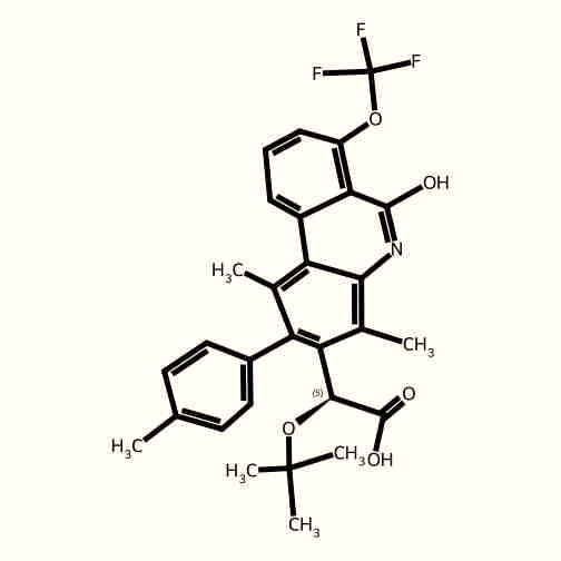 Cc1ccc(-c2c([C@H](OC(C)(C)C)C(=O)O)c(C)c3nc(O)c4c(OC(F)(F)F)cccc4c3c2C)cc1